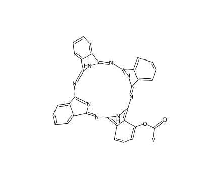 O=[C]([V])Oc1cccc2c3nc4nc(nc5[nH]c(nc6nc(nc([nH]3)c12)-c1ccccc1-6)c1ccccc51)-c1ccccc1-4